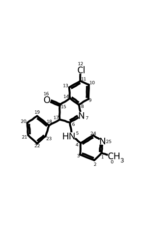 Cc1ccc(NC2=Nc3ccc(Cl)cc3C(=O)C2c2ccccc2)cn1